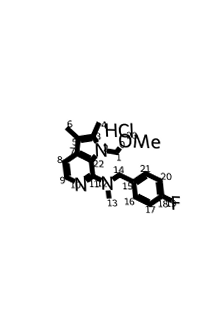 COCn1c(C)c(C)c2ccnc(N(C)Cc3ccc(F)cc3)c21.Cl